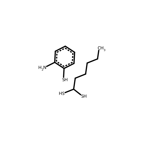 CCCCCC(S)S.Nc1ccccc1S